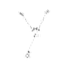 [N-]=[N+]=NCCOCCOCCOCCNC(=O)CCC(CCC(=O)NCCOCCOCCOCCN=[N+]=[N-])NC(=O)CCCCCCCCCCC(=O)Oc1c(F)c(F)c(F)c(F)c1F